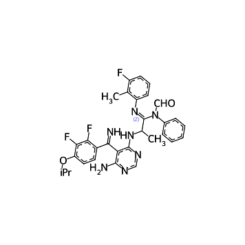 Cc1c(F)cccc1/N=C(/C(C)Nc1ncnc(N)c1C(=N)c1ccc(OC(C)C)c(F)c1F)N(C=O)c1ccccc1